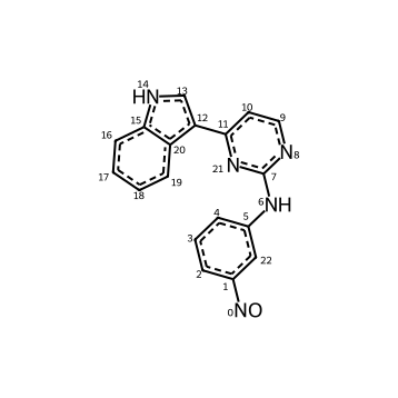 O=Nc1cccc(Nc2nccc(-c3c[nH]c4ccccc34)n2)c1